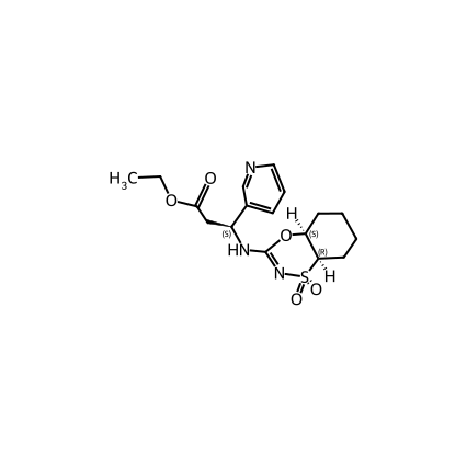 CCOC(=O)C[C@H](NC1=NS(=O)(=O)[C@@H]2CCCC[C@@H]2O1)c1cccnc1